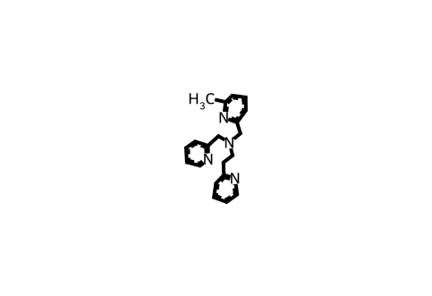 Cc1cccc(CN(CCc2ccccn2)Cc2ccccn2)n1